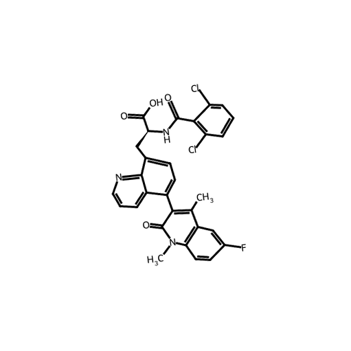 Cc1c(-c2ccc(C[C@H](NC(=O)c3c(Cl)cccc3Cl)C(=O)O)c3ncccc23)c(=O)n(C)c2ccc(F)cc12